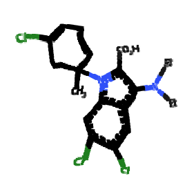 CCN(CC)c1c(C(=O)O)n(C2(C)C=CC=C(Cl)C2)c2cc(Cl)c(Cl)cc12